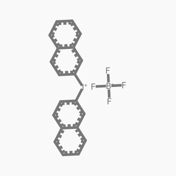 F[B-](F)(F)F.c1ccc2cc([I+]c3ccc4ccccc4c3)ccc2c1